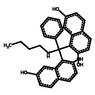 CCCCNC(c1ccccc1)(c1c(O)ccc2ccc(O)cc12)c1c(O)ccc2ccc(O)cc12